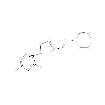 O=[N+]([O-])c1ccc(C2CC=C(/C=N/N3CCOCC3)O2)c(Cl)c1